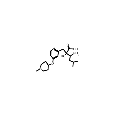 CC(C)CC(N)C(O)(Cc1cc(OC2CCN(C)CC2)ccn1)C(=O)O